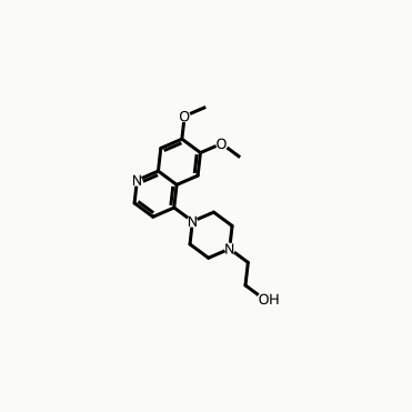 COc1cc2nccc(N3CCN(CCO)CC3)c2cc1OC